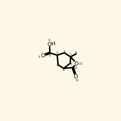 CC12CC(C(=O)O)CC(C1)C(=O)O2